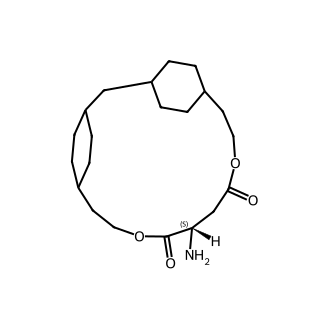 N[C@H]1CC(=O)OCCC2CCC(CC2)CC2CCC(CCOC1=O)CC2